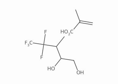 C=C(C)C(=O)O.CC(C(O)CO)C(F)(F)C(F)(F)F